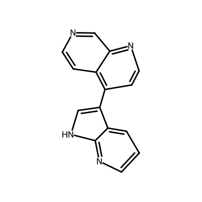 c1cnc2[nH]cc(-c3ccnc4cnccc34)c2c1